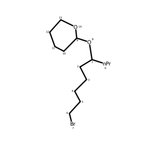 CCCC(CCCCCBr)OC1CCCCO1